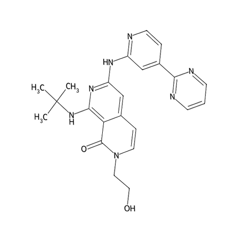 CC(C)(C)Nc1nc(Nc2cc(-c3ncccn3)ccn2)cc2ccn(CCO)c(=O)c12